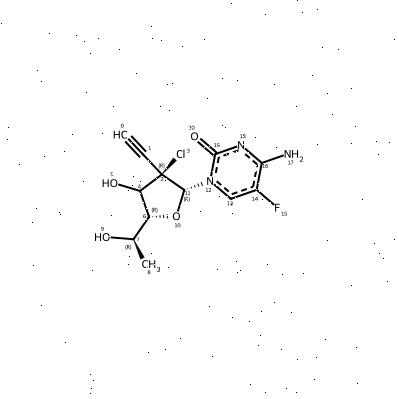 C#C[C@@]1(Cl)C(O)[C@@H]([C@@H](C)O)O[C@H]1n1cc(F)c(N)nc1=O